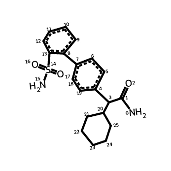 NC(=O)C(c1ccc(-c2ccccc2S(N)(=O)=O)cc1)C1CCCCC1